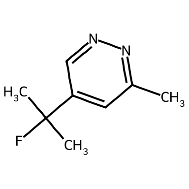 Cc1cc(C(C)(C)F)cnn1